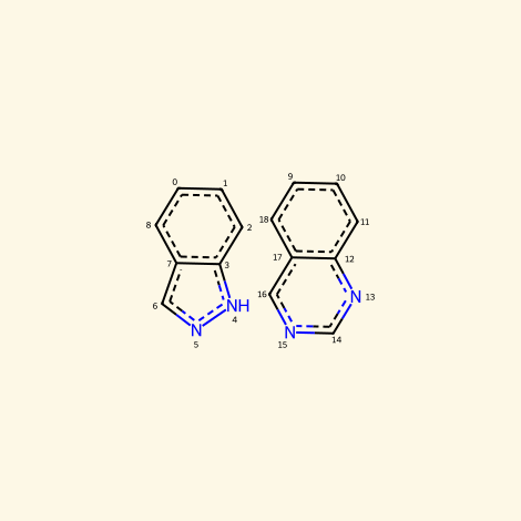 c1ccc2[nH]ncc2c1.c1ccc2ncncc2c1